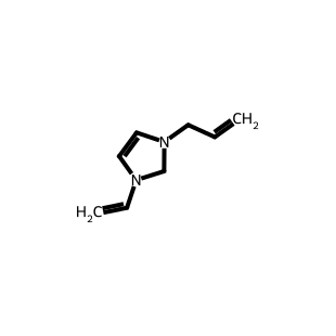 C=CCN1C=CN(C=C)C1